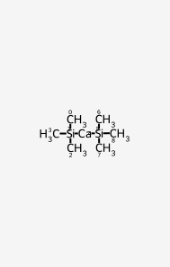 C[Si](C)(C)[Ca][Si](C)(C)C